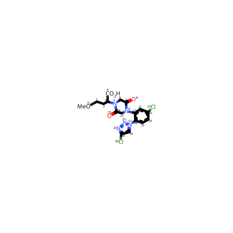 COCCC(C(=O)O)N1CC(=O)N(c2cc(Cl)ccc2-n2cc(Cl)nn2)CC1=O